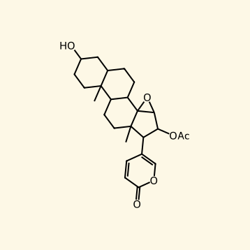 CC(=O)OC1C(c2ccc(=O)oc2)C2(C)CCC3C(CCC4CC(O)CCC43C)C23OC13